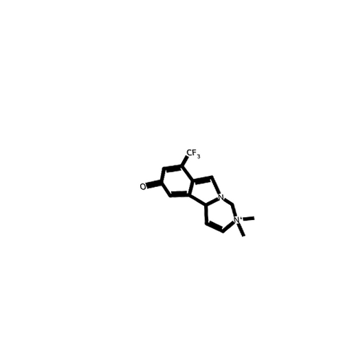 C[N+]1(C)C=CC2C3=CC(=O)C=C(C(F)(F)F)C3=CN2C1